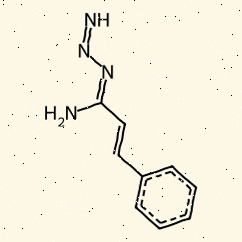 N=N/N=C(N)/C=C/c1ccccc1